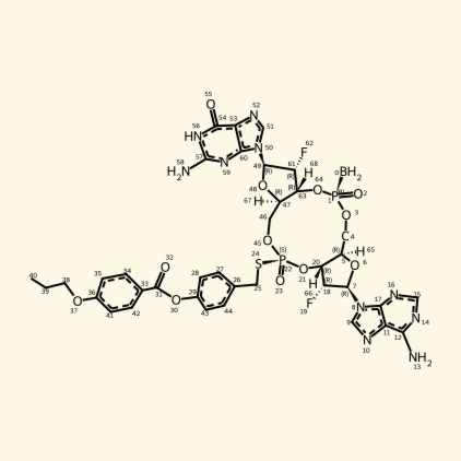 B[P@@]1(=O)OC[C@H]2O[C@@H](n3cnc4c(N)ncnc43)[C@H](F)[C@@H]2O[P@@](=O)(SCc2ccc(OC(=O)c3ccc(OCCC)cc3)cc2)OC[C@H]2O[C@@H](n3cnc4c(=O)[nH]c(N)nc43)[C@H](F)[C@@H]2O1